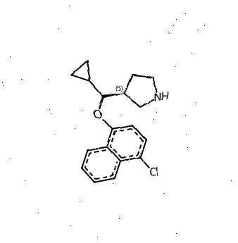 Clc1ccc(OC(C2CC2)[C@H]2CCNC2)c2ccccc12